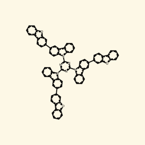 c1ccc2c(c1)oc1cc(-c3ccc4c(c3)c3ccccc3n4-c3nc(-n4c5ccccc5c5cc(-c6ccc7c(c6)oc6ccccc67)ccc54)nc(-n4c5ccccc5c5cc(-c6ccc7c(c6)oc6ccccc67)ccc54)n3)ccc12